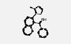 CC1=C(c2ccc3ccccc3c2C(=N)c2ccccc2)CC=C1